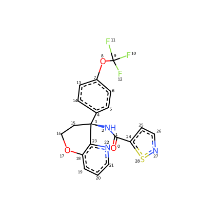 O=C(N[C@]1(c2ccc(OC(F)(F)F)cc2)CCOc2cccnc21)c1ccns1